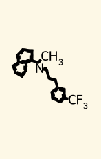 CC(/N=C/CCc1cccc(C(F)(F)F)c1)c1cccc2ccccc12